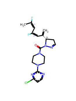 C=C(/C=C(F)\C=C(/C)F)[C@@H]1CC=NN1C(=O)N1CCN(c2nccc(Cl)n2)CC1